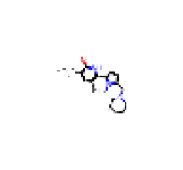 CCc1cc(C(=O)O)c(=O)[nH]c1-c1ccc(CN2CCCCC2)n1C